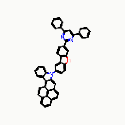 c1ccc(-c2cc(-c3ccccc3)nc(-c3ccc4c(c3)oc3ccc(-n5c6ccccc6c6c7ccc8cccc9ccc(cc65)c7c98)cc34)n2)cc1